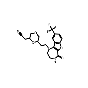 N#CCC1COCC(CCN2CCNC(=O)c3oc4ccc(C(F)(F)F)cc4c32)O1